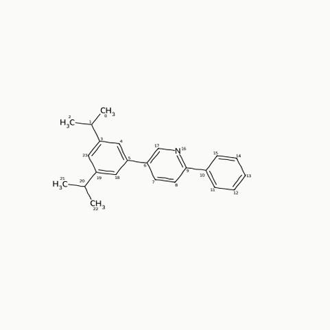 CC(C)c1cc(-c2ccc(-c3ccccc3)nc2)cc(C(C)C)c1